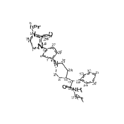 CCCn1ncn(-c2ccc(N3CCC(C(C(=O)NC(C)C)c4ccccc4)CC3)cc2)c1=O